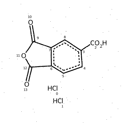 Cl.Cl.O=C(O)c1ccc2c(c1)C(=O)OC2=O